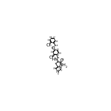 Cn1cnc(CC(NCc2ccc(OCc3ccccc3Cl)cc2Cl)C(N)=O)c1